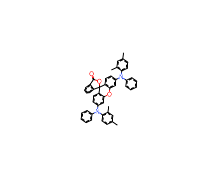 Cc1ccc(N(c2ccccc2)c2ccc3c(c2)Oc2cc(N(c4ccccc4)c4ccc(C)cc4C)ccc2C32OC(=O)c3ccccc32)c(C)c1